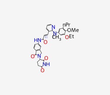 CCCc1cc(N(C)c2ncccc2/C=C/C(=O)Nc2ccc3c(c2)CN(C2CCC(=O)NC2=O)C3=O)cc(OCC)c1OC